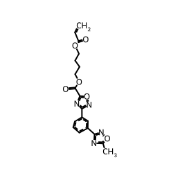 C=CC(=O)OCCCCOC(=O)c1nc(-c2cccc(-c3noc(C)n3)c2)no1